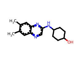 Cc1cc2ncc(NC3CCC(O)CC3)nc2cc1C